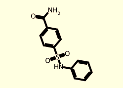 NC(=O)c1ccc(S(=O)(=O)Nc2ccccc2)cc1